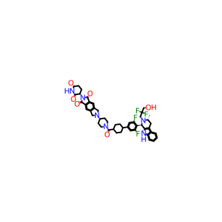 C[C@@H]1Cc2c([nH]c3ccccc23)[C@@H](c2c(F)cc(C3CCC(C(=O)N4CCC(N5Cc6cc7c(cc6C5)C(=O)N(C5CCC(=O)NC5=O)C7=O)CC4)CC3)cc2F)N1CC(F)(F)CO